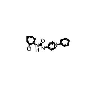 O=C(N=c1ccn(-c2ccccc2)nc1)Nc1ccccc1Cl